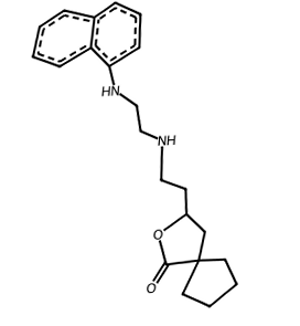 O=C1OC(CCNCCNc2cccc3ccccc23)CC12CCCC2